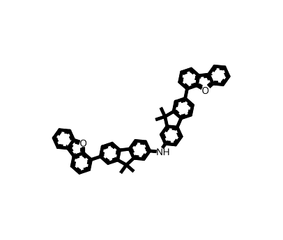 CC1(C)c2cc(Nc3ccc4c(c3)C(C)(C)c3cc(-c5cccc6c5oc5ccccc56)ccc3-4)ccc2-c2ccc(-c3cccc4c3oc3ccccc34)cc21